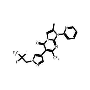 Cc1cn2c(=O)c(-c3cnn(CC(F)(F)C(F)(F)F)c3)c(C(F)(F)F)nc2n1-c1ccccn1